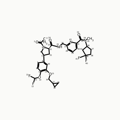 CC(=O)N1CC(c2ccc(OC(F)F)c(OCC3CC3)c2)C[C@@H]1C(=O)NCc1cccc(C(=O)N(C)C2CCC(F)(F)C2)n1